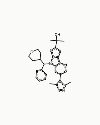 Cc1nnn(C)c1-c1cnc2c3cc(C(C)(C)O)sc3n(C(c3ccccc3)C3CCOCC3)c2c1